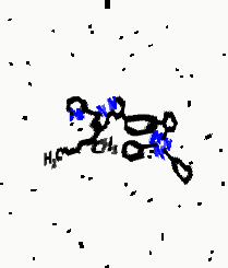 C=C/C=C\C=C(/C)c1cc(-c2ccccn2)nc(-c2cc(-c3cccc(-c4ccccc4-c4nc(-c5ccccc5)nc(-c5ccccc5)n4)c3)ccn2)c1